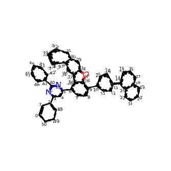 C1=CC(c2cc(-c3ccc(-c4ccc(-c5cccc6ccccc56)cc4)c4oc5cc6ccccc6cc5c34)nc(-c3ccccc3)n2)=CCC1